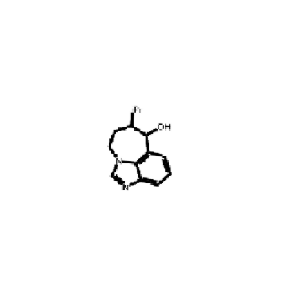 CC(C)C1CCn2cnc3cccc(c32)C1O